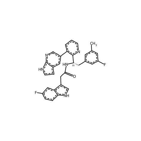 Cc1cc(F)cc(C[C@H](NC(=O)Cc2c[nH]c3ccc(F)cc23)c2ncccc2-c2cnc3[nH]ccc3c2)c1